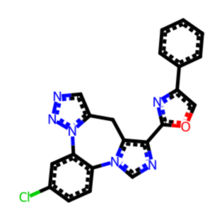 Clc1ccc2c(c1)-n1nncc1Cc1c(-c3nc(-c4ccccc4)co3)ncn1-2